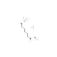 NOC(=O)CCCCCC(=O)ON.[H+]